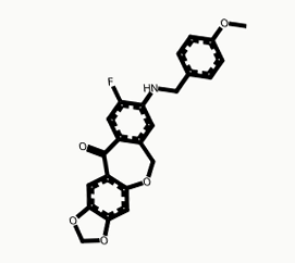 COc1ccc(CNc2cc3c(cc2F)C(=O)c2cc4c(cc2OC3)OCO4)cc1